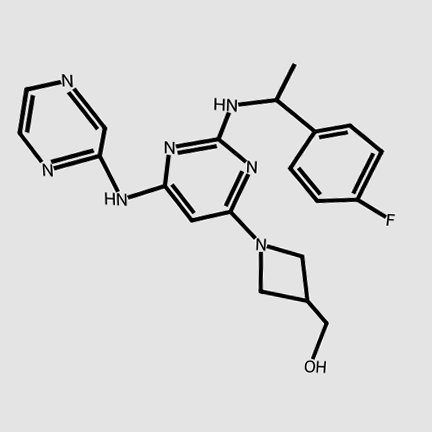 CC(Nc1nc(Nc2cnccn2)cc(N2CC(CO)C2)n1)c1ccc(F)cc1